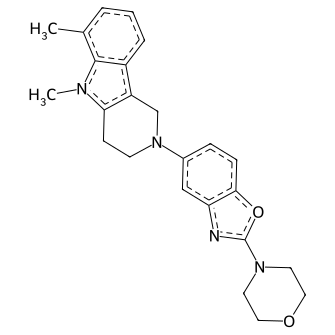 Cc1cccc2c3c(n(C)c12)CCN(c1ccc2oc(N4CCOCC4)nc2c1)C3